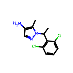 Cc1c(N)cnn1C(C)c1c(Cl)cccc1Cl